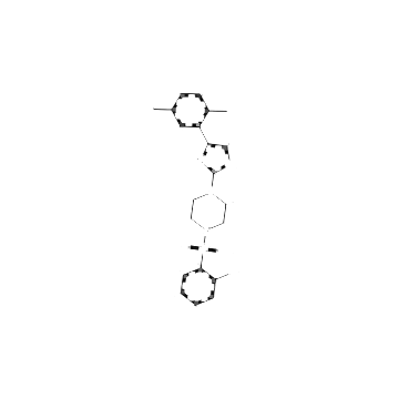 Cc1ccc(C)c(-c2csc(N3CCN(S(=O)(=O)c4ccccc4C(F)(F)F)CC3)n2)c1